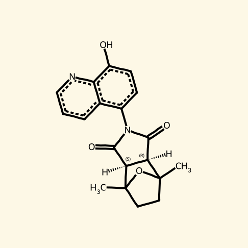 CC12CCC(C)(O1)[C@H]1C(=O)N(c3ccc(O)c4ncccc34)C(=O)[C@H]12